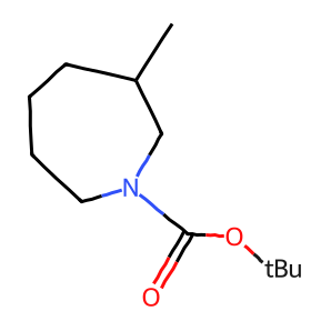 CC1CCCCN(C(=O)OC(C)(C)C)C1